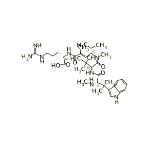 CN[C@H](C(=O)N[C@H](C(=O)N(C)[C@H](/C=C(\C)C(=O)N[C@@H](CCCNC(=N)N)C(=O)O)C(C)C)C(C)(C)C)C(C)(C)c1c[nH]c2ccccc12